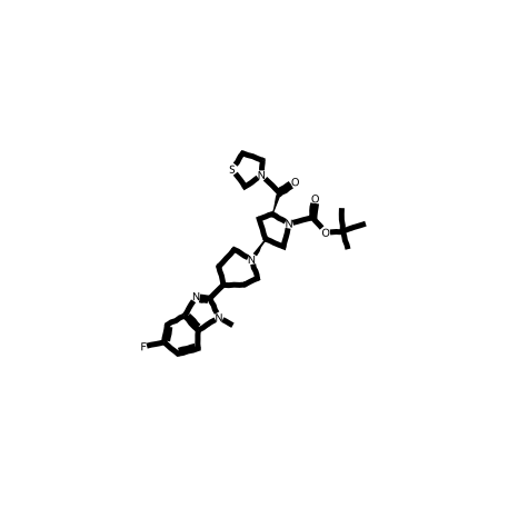 Cn1c(C2CCN([C@H]3C[C@@H](C(=O)N4CCSC4)N(C(=O)OC(C)(C)C)C3)CC2)nc2cc(F)ccc21